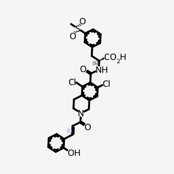 CS(=O)(=O)c1cccc(C[C@H](NC(=O)c2c(Cl)cc3c(c2Cl)CCN(C(=O)/C=C/c2ccccc2O)C3)C(=O)O)c1